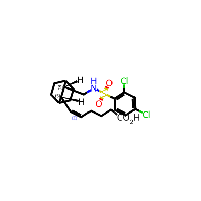 O=C(O)CCC/C=C\[C@@H]1C2CCC(CC2)[C@@H]1CNS(=O)(=O)c1ccc(Cl)cc1Cl